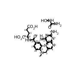 CN(Cc1cnc2nc(N)nc(N)c2n1)c1ccc(C(=O)N[C@@H](CCC(=O)O)C(=O)O)cc1.NC(=O)NO